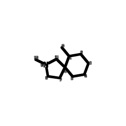 CC1CCCCC12CCN(C)C2